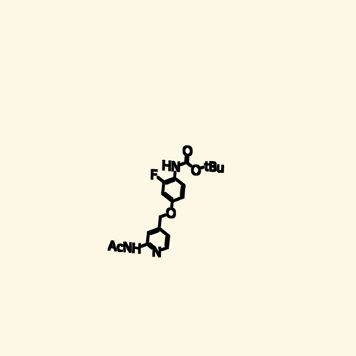 CC(=O)Nc1cc(COc2ccc(NC(=O)OC(C)(C)C)c(F)c2)ccn1